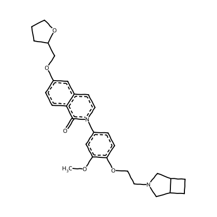 COc1cc(-n2ccc3cc(OCC4CCCO4)ccc3c2=O)ccc1OCCN1CC2CCC2C1